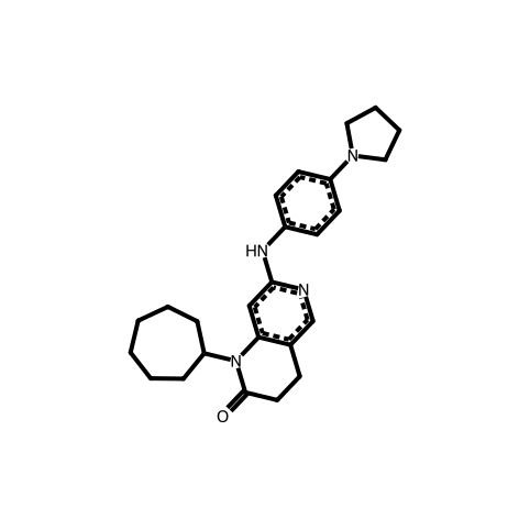 O=C1CCc2cnc(Nc3ccc(N4CCCC4)cc3)cc2N1C1CCCCCC1